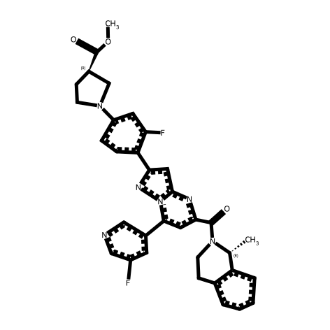 COC(=O)[C@@H]1CCN(c2ccc(-c3cc4nc(C(=O)N5CCc6ccccc6[C@H]5C)cc(-c5cncc(F)c5)n4n3)c(F)c2)C1